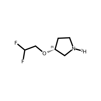 [2H]N1CC[C@@H](OCC(F)F)C1